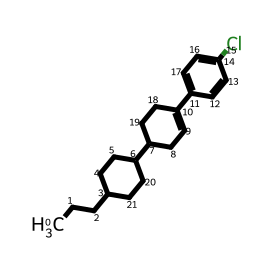 CCCC1CCC(C2CC=C(c3ccc(Cl)cc3)CC2)CC1